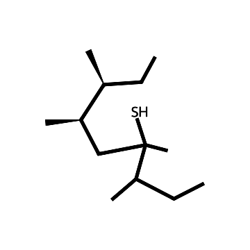 CCC(C)C(C)(S)C[C@@H](C)[C@@H](C)CC